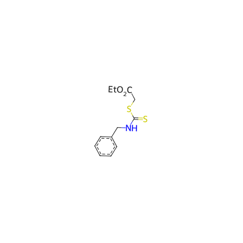 CCOC(=O)CSC(=S)NCc1ccccc1